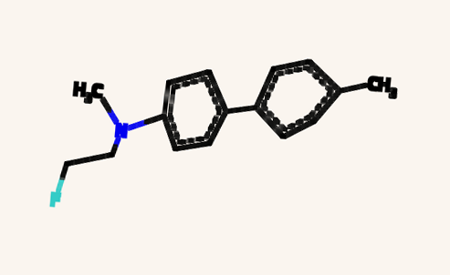 Cc1ccc(-c2ccc(N(C)CCF)cc2)cc1